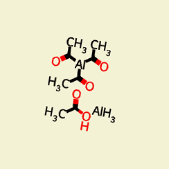 CC(=O)O.C[C](=O)[Al]([C](C)=O)[C](C)=O.[AlH3]